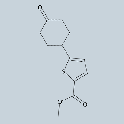 COC(=O)c1ccc(C2CCC(=O)CC2)s1